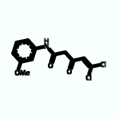 COc1cccc(NC(=O)CC(=O)C=C(Cl)Cl)c1